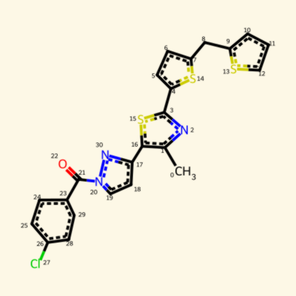 Cc1nc(-c2ccc(Cc3cccs3)s2)sc1-c1ccn(C(=O)c2ccc(Cl)cc2)n1